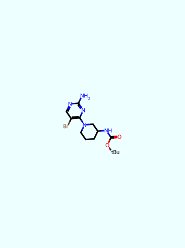 CC(C)(C)OC(=O)NC1CCCN(c2nc(N)ncc2Br)C1